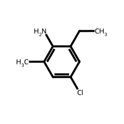 CCc1cc(Cl)cc(C)c1N